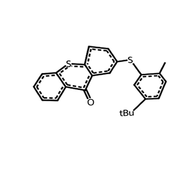 Cc1ccc(C(C)(C)C)cc1Sc1ccc2sc3ccccc3c(=O)c2c1